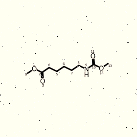 COC(=O)CCCCCNC(=O)OC